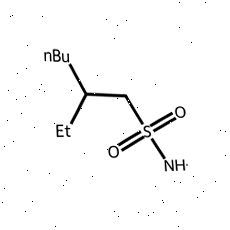 CCCCC(CC)CS([NH])(=O)=O